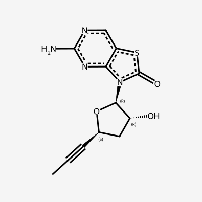 CC#C[C@@H]1C[C@@H](O)[C@H](n2c(=O)sc3cnc(N)nc32)O1